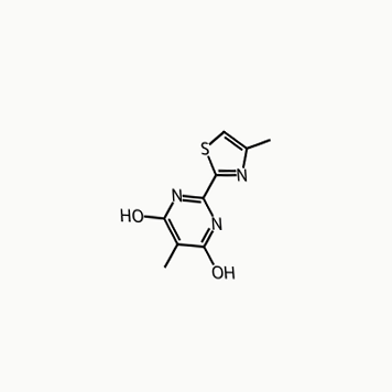 Cc1csc(-c2nc(O)c(C)c(O)n2)n1